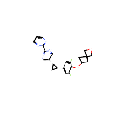 Fc1cc([C@@H]2C[C@H]2c2cnc(-c3ncccn3)nc2)cc(F)c1OC1CC2(COC2)C1